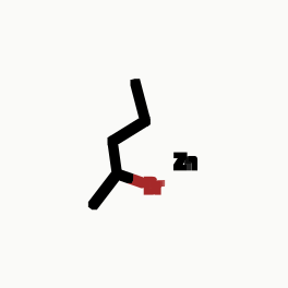 CCCC(C)Br.[Zn]